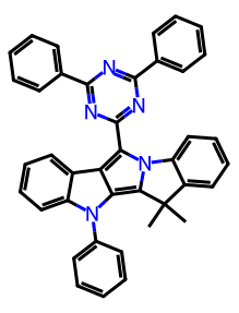 CC1(C)c2ccccc2-n2c(-c3nc(-c4ccccc4)nc(-c4ccccc4)n3)c3c4ccccc4n(-c4ccccc4)c3c21